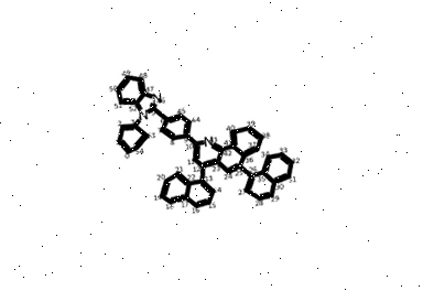 c1ccc(-n2c(-c3ccc(-c4cc(-c5cccc6ccccc56)c5cc(-c6cccc7ccccc67)c6ccccc6c5n4)cc3)nc3ccccc32)cc1